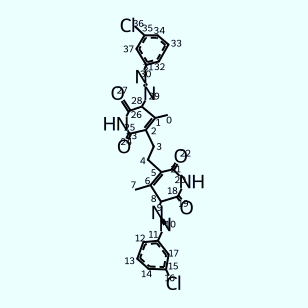 CC1=C(CCC2=C(C)C(N=Nc3cccc(Cl)c3)C(=O)NC2=O)C(=O)NC(=O)C1N=Nc1cccc(Cl)c1